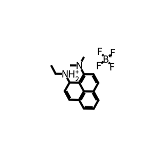 CC[NH2+]C1C=Cc2cccc3ccc(N(C)C)c1c23.F[B-](F)(F)F